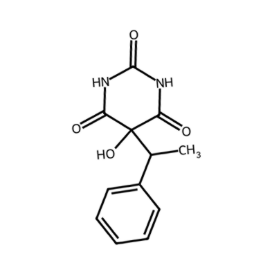 CC(c1ccccc1)C1(O)C(=O)NC(=O)NC1=O